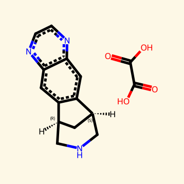 O=C(O)C(=O)O.c1cnc2cc3c(cc2n1)[C@@H]1CNC[C@H]3C1